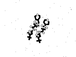 CC(C)(C)c1cc(NC(=O)C(C)(C)S(=O)(=O)C2CCOCC2)on1.CC(C)(C)c1cc(NC(=O)C(C)(C)S(=O)(=O)CC2CCOCC2)on1